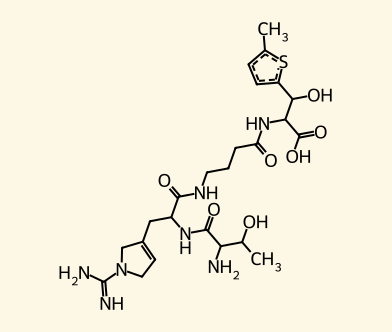 Cc1ccc(C(O)C(NC(=O)CCCNC(=O)C(CC2=CCN(C(=N)N)C2)NC(=O)C(N)C(C)O)C(=O)O)s1